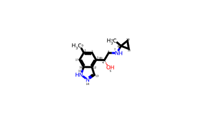 Cc1cc([C@@H](O)CNC2(C)CC2)c2cn[nH]c2c1